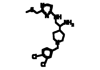 CSCc1nccc(NCC(N)C2CCN(Cc3ccc(Cl)c(Cl)c3)CC2)n1